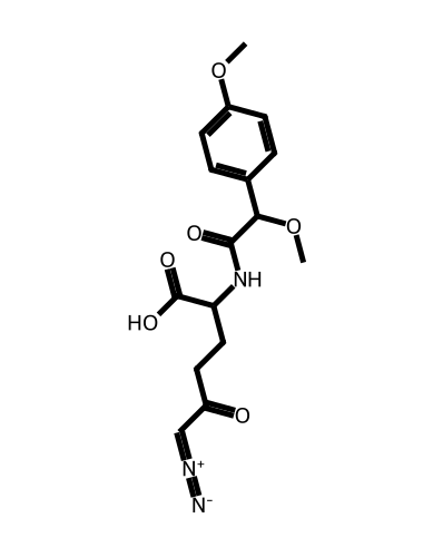 COc1ccc(C(OC)C(=O)NC(CCC(=O)C=[N+]=[N-])C(=O)O)cc1